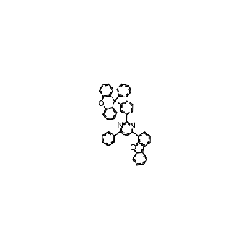 c1ccc(-c2cc(-c3cccc4c3oc3ccccc34)nc(-c3cccc(C4(c5ccccc5)c5ccccc5Oc5ccccc54)c3)n2)cc1